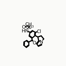 CS(=O)(=O)Nc1cc(Cl)c(C2CCn3cccc32)c(C(=O)c2ccccc2)c1